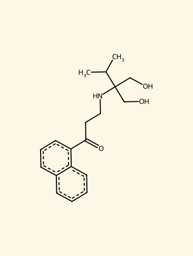 CC(C)C(CO)(CO)NCCC(=O)c1cccc2ccccc12